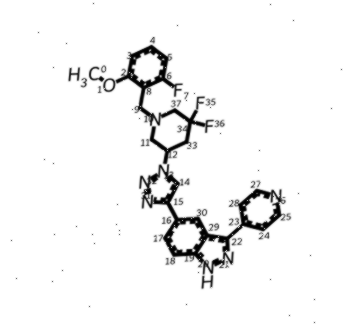 COc1cccc(F)c1CN1CC(n2cc(-c3ccc4[nH]nc(-c5ccncc5)c4c3)nn2)CC(F)(F)C1